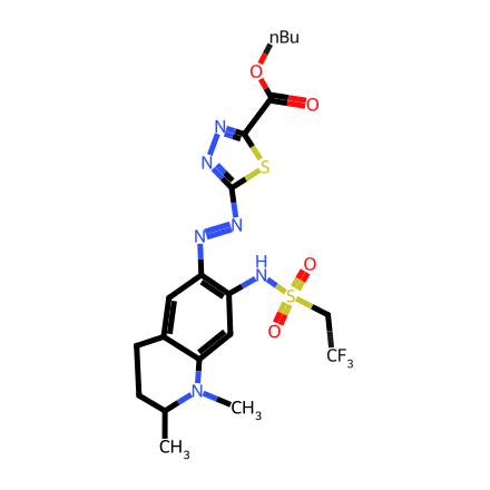 CCCCOC(=O)c1nnc(N=Nc2cc3c(cc2NS(=O)(=O)CC(F)(F)F)N(C)C(C)CC3)s1